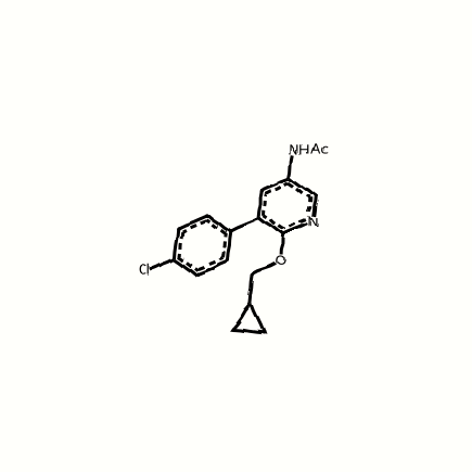 CC(=O)Nc1cnc(OCC2CC2)c(-c2ccc(Cl)cc2)c1